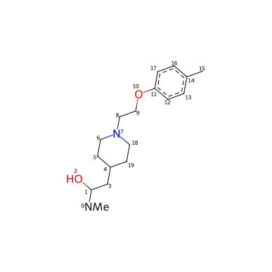 CNC(O)CC1CCN(CCOc2ccc(C)cc2)CC1